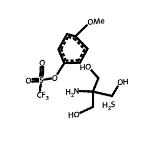 COc1ccc(OS(=O)(=O)C(F)(F)F)cc1.NC(CO)(CO)CO.S